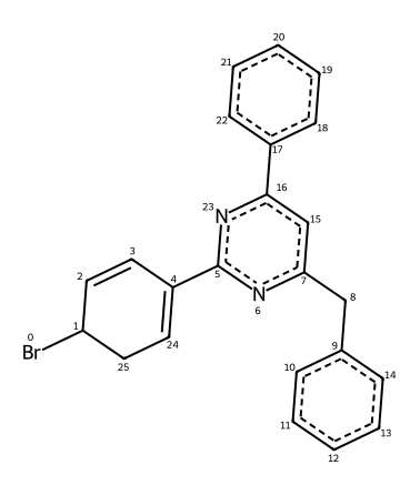 BrC1C=CC(c2nc(Cc3ccccc3)cc(-c3ccccc3)n2)=CC1